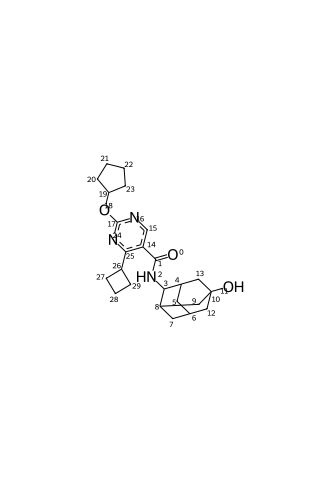 O=C(NC1C2CC3CC1CC(O)(C3)C2)c1cnc(OC2CCCC2)nc1C1CCC1